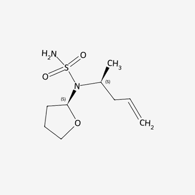 C=CC[C@H](C)N([C@@H]1CCCO1)S(N)(=O)=O